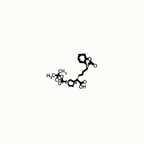 CC(C)(C)OC(=O)N1CC[C@H]([C@H](CCCCn2c(=O)oc3ccccc32)C(=O)O)C1